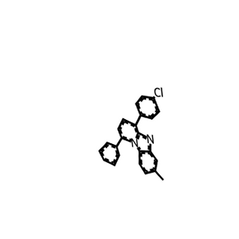 Cc1ccc2c(c1)nc1c(-c3ccc(Cl)cc3)ccc(-c3ccccc3)n12